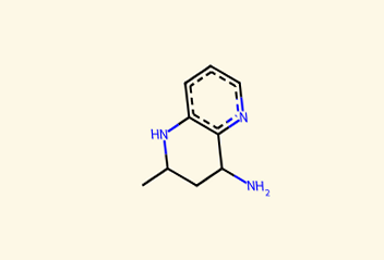 CC1CC(N)c2ncccc2N1